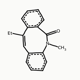 CC/C1=C/c2ccccc2N(C)C(=O)c2ccccc21